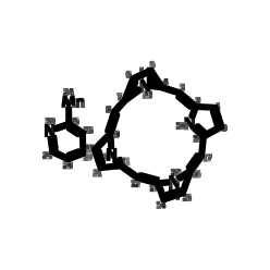 C1=Cc2cc3ccc(cc4nc(cc5ccc(cc1n2)[nH]5)C=C4)[nH]3.[Mn][c]1ccccn1